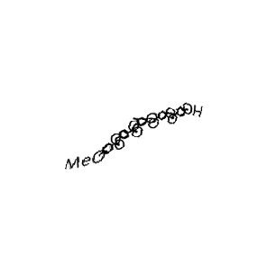 COc1ccc(C(=O)Oc2ccc(C(=O)Oc3ccc(OC(=O)c4ccc(OC(=O)c5ccc(O)cc5)cc4)cc3C)cc2)cc1